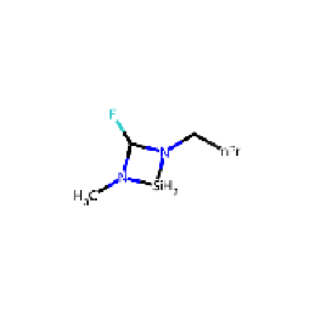 CCCCN1[SiH2]N(C)C1F